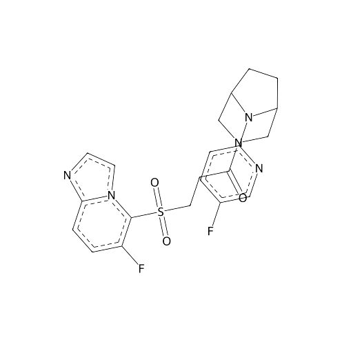 O=C(CCS(=O)(=O)c1c(F)ccc2nccn12)N1CC2CCC(C1)N2c1ccc(F)cn1